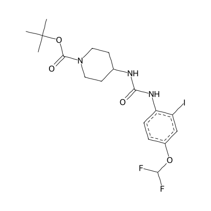 CC(C)(C)OC(=O)N1CCC(NC(=O)Nc2ccc(OC(F)F)cc2I)CC1